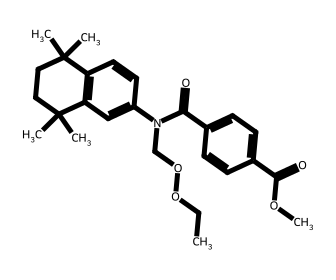 CCOOCN(C(=O)c1ccc(C(=O)OC)cc1)c1ccc2c(c1)C(C)(C)CCC2(C)C